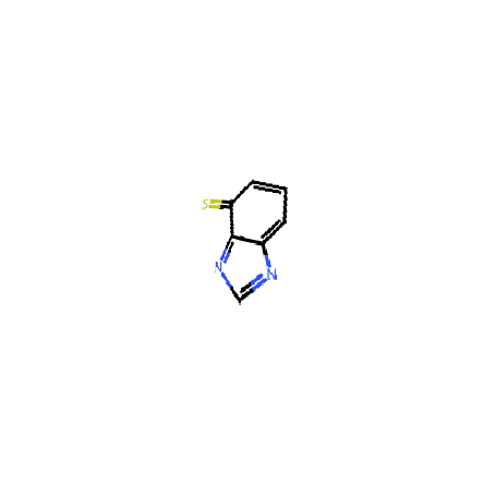 S=C1C=CC=C2N=[C]N=C12